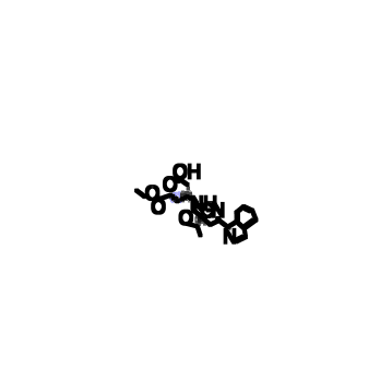 CCOC(=O)/C=C/[C@H](CC(=O)O)NC(=O)[C@]1(C(C)C)CC(c2nccc3ccccc23)=NO1